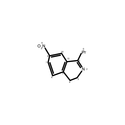 CC(C)C1=NCCc2ccc([N+](=O)[O-])cc21